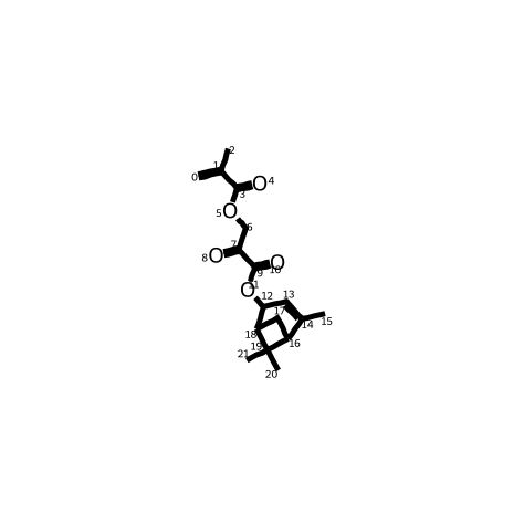 C=C(C)C(=O)OCC(=O)C(=O)OC1C=C(C)C2CC1C2(C)C